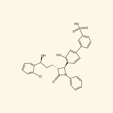 O=C1[C@H](CC[C@H](O)c2ccccc2Cl)[C@@H](c2ccc(-c3cccc(S(=O)(=O)O)c3)cc2O)N1c1ccccc1